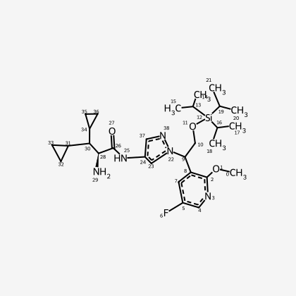 COc1ncc(F)cc1C(CO[Si](C(C)C)(C(C)C)C(C)C)n1cc(NC(=O)[C@@H](N)C(C2CC2)C2CC2)cn1